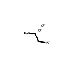 CCCC[CH2][Ru+2].[Cl-].[Cl-]